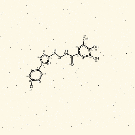 O=C(NSNc1nc(-c2ccc(Cl)cc2)cs1)c1cc(O)c(O)c(O)c1